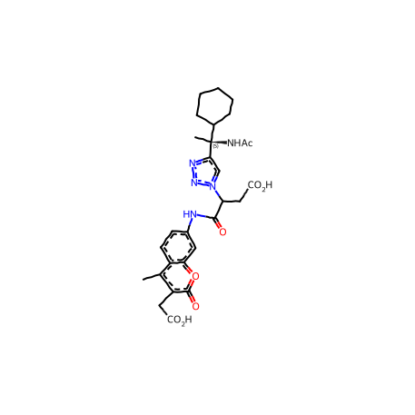 CC(=O)N[C@](C)(c1cn(C(CC(=O)O)C(=O)Nc2ccc3c(C)c(CC(=O)O)c(=O)oc3c2)nn1)C1CCCCC1